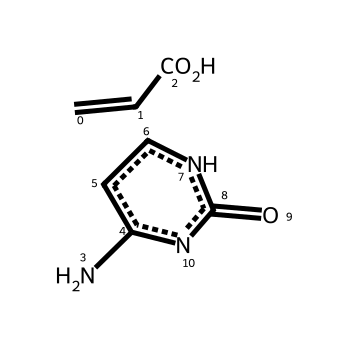 C=CC(=O)O.Nc1cc[nH]c(=O)n1